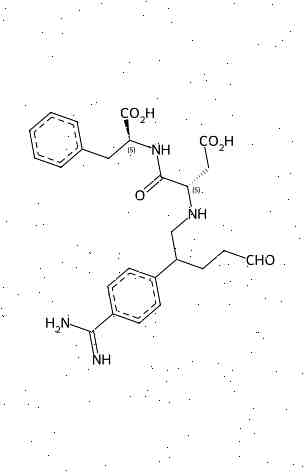 N=C(N)c1ccc(C(CCC=O)CN[C@@H](CC(=O)O)C(=O)N[C@@H](Cc2ccccc2)C(=O)O)cc1